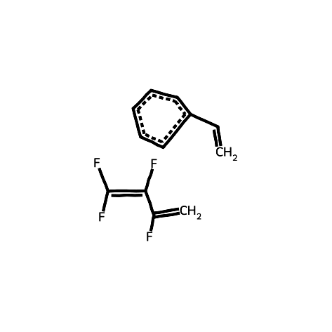 C=C(F)C(F)=C(F)F.C=Cc1ccccc1